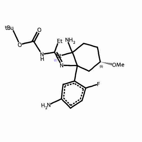 CC/C(=N\C1(c2cc(N)ccc2F)C[C@@H](OC)CCC1(N)CC)NC(=O)OC(C)(C)C